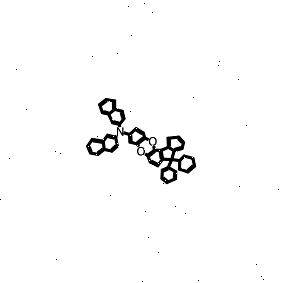 C1=CCC(C2(c3ccccc3)c3ccccc3-c3c2ccc2c3Oc3ccc(N(c4ccc5ccccc5c4)c4ccc5ccccc5c4)cc3O2)CC1